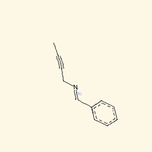 CC#CC/N=C/c1ccccc1